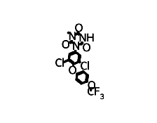 Cn1c(=O)[nH]c(=O)n(-c2cc(Cl)c(Oc3ccc(OC(F)(F)F)cc3)c(Cl)c2)c1=O